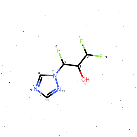 OC(C(F)F)C(F)n1cncn1